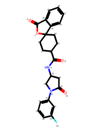 O=C1OC2(CCC(C(=O)NC3CC(=O)N(c4cccc(F)c4)C3)CC2)c2ccccc21